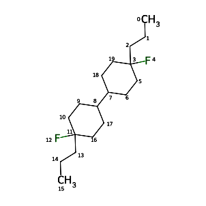 CCCC1(F)CCC(C2CCC(F)(CCC)CC2)CC1